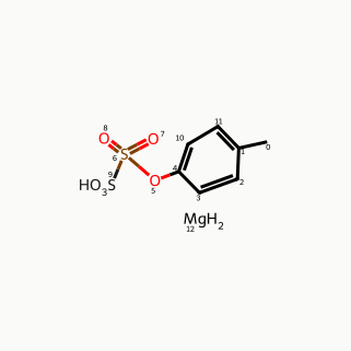 Cc1ccc(OS(=O)(=O)S(=O)(=O)O)cc1.[MgH2]